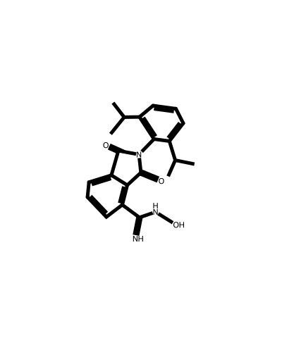 CC(C)c1cccc(C(C)C)c1N1C(=O)c2cccc(C(=N)NO)c2C1=O